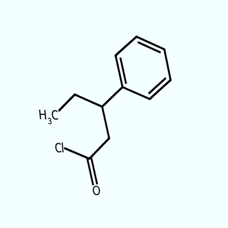 CCC(CC(=O)Cl)c1ccccc1